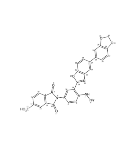 CCCNc1ccc(N2C(=O)c3ccc(C(=O)O)cc3C2=O)cc1-c1nc2cc(-c3ccc4c(c3)OCO4)ccc2o1